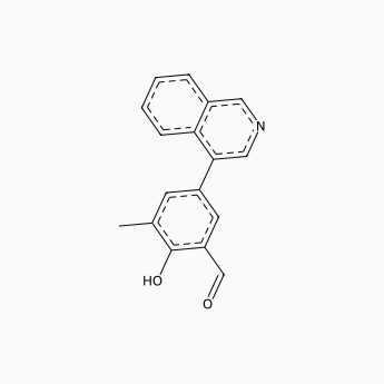 Cc1cc(-c2cncc3ccccc23)cc(C=O)c1O